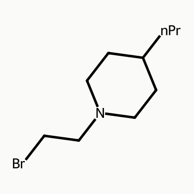 CCCC1CCN(CCBr)CC1